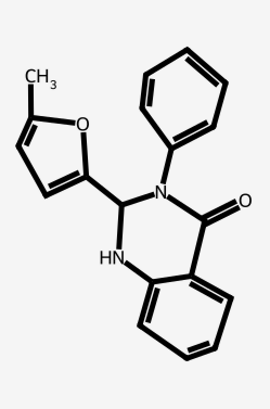 Cc1ccc(C2Nc3ccccc3C(=O)N2c2ccccc2)o1